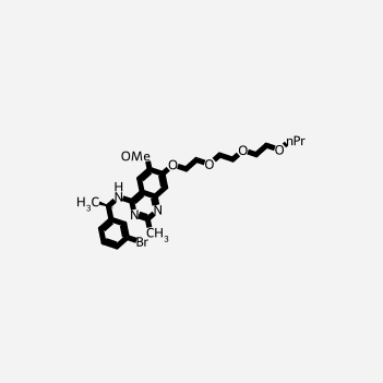 CCCOCCOCCOCCOc1cc2nc(C)nc(N[C@H](C)c3cccc(Br)c3)c2cc1OC